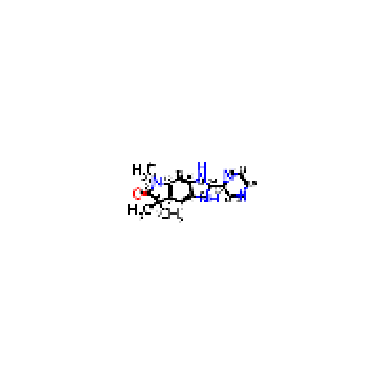 CN1C(=O)C(C)(C)c2cc3c(cc21)NC(c1cnccn1)N3